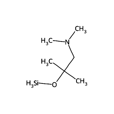 CN(C)CC(C)(C)O[SiH3]